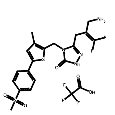 Cc1cc(-c2ccc(S(C)(=O)=O)cc2)sc1Cn1c(CC(CN)=C(F)F)n[nH]c1=O.O=C(O)C(F)(F)F